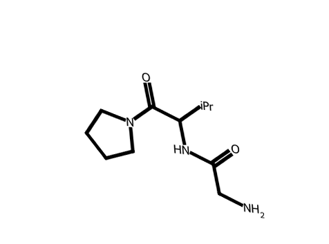 CC(C)C(NC(=O)CN)C(=O)N1CCCC1